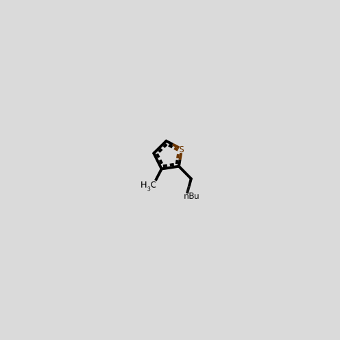 CCCCCc1sccc1C